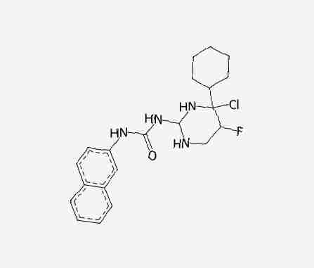 O=C(Nc1ccc2ccccc2c1)NC1NCC(F)C(Cl)(C2CCCCC2)N1